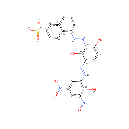 O=Nc1cc([N+](=O)O)cc(/N=N/c2ccc(O)c(/N=N/c3cccc4cc(S(=O)(=O)O)ccc34)c2O)c1O